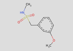 CNS(=O)(=O)Cc1cccc(OC)c1